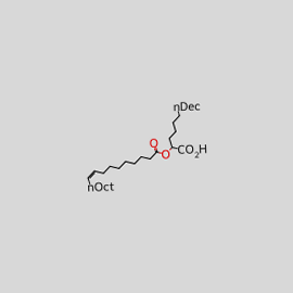 CCCCCCCC/C=C\CCCCCCCC(=O)OC(CCCCCCCCCCCCCC)C(=O)O